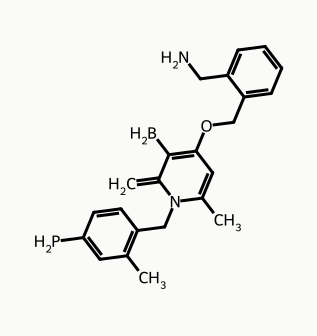 BC1=C(OCc2ccccc2CN)C=C(C)N(Cc2ccc(P)cc2C)C1=C